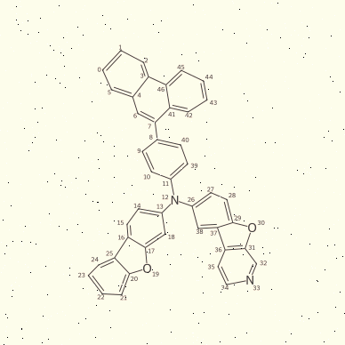 c1ccc2c(c1)cc(-c1ccc(N(c3ccc4c(c3)oc3ccccc34)c3ccc4oc5cnccc5c4c3)cc1)c1ccccc12